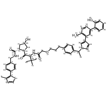 Cc1ncsc1-c1ccc(CNC(=O)[C@@H]2C[C@@H](O)CN2C(=O)[C@@H](NC(=O)COCCCc2ccc(C(C)n3cc(-c4cc(-c5ccccc5O)nnc4N)cn3)cc2)C(C)(C)C)cc1